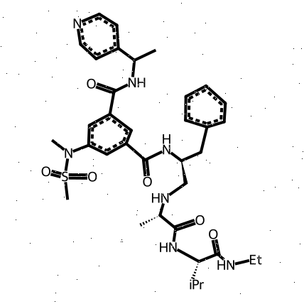 CCNC(=O)[C@@H](NC(=O)[C@H](C)NC[C@H](Cc1ccccc1)NC(=O)c1cc(C(=O)NC(C)c2ccncc2)cc(N(C)S(C)(=O)=O)c1)C(C)C